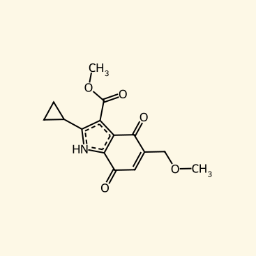 COCC1=CC(=O)c2[nH]c(C3CC3)c(C(=O)OC)c2C1=O